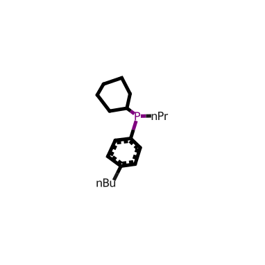 CCCCc1ccc(P(CCC)C2CCCCC2)cc1